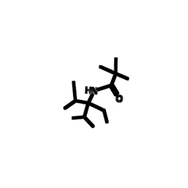 CCC(NC(=O)C(C)(C)C)(C(C)C)C(C)C